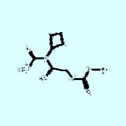 CCOC(=O)C(=O)N(C(C)CNC(=O)OC(C)(C)C)C1CCC1